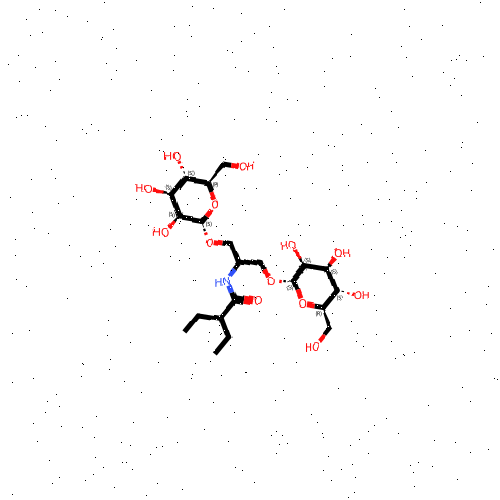 CCC(CC)C(=O)NC(CO[C@H]1O[C@H](CO)[C@@H](O)[C@H](O)[C@@H]1O)CO[C@H]1O[C@H](CO)[C@@H](O)[C@H](O)[C@@H]1O